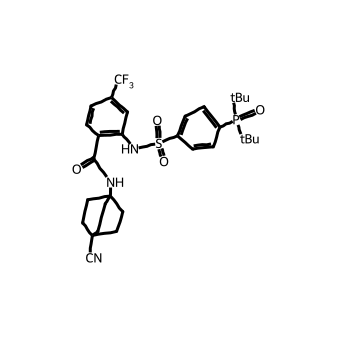 CC(C)(C)P(=O)(c1ccc(S(=O)(=O)Nc2cc(C(F)(F)F)ccc2C(=O)NC23CCC(C#N)(CC2)CC3)cc1)C(C)(C)C